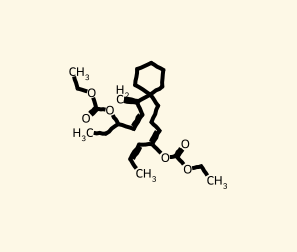 C=C(/C=C\C(CC)OC(=O)OCC)C1(CC/C=C(\C=C/C)OC(=O)OCC)CCCCC1